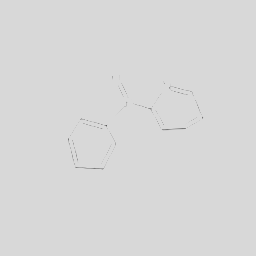 O=[P](c1ccccc1)c1ccccn1